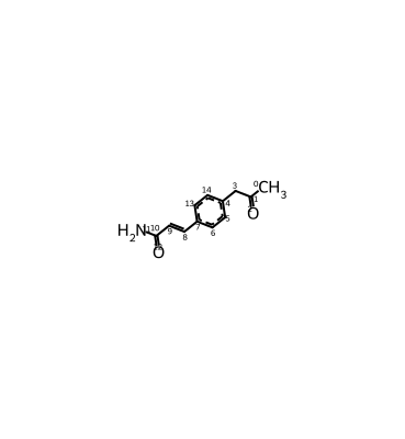 CC(=O)Cc1ccc(/C=C/C(N)=O)cc1